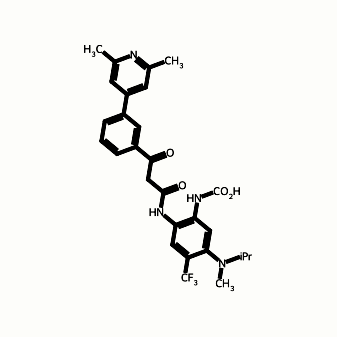 Cc1cc(-c2cccc(C(=O)CC(=O)Nc3cc(C(F)(F)F)c(N(C)C(C)C)cc3NC(=O)O)c2)cc(C)n1